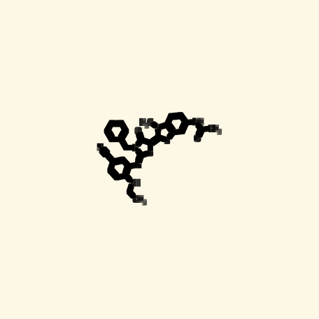 CCNc1ccc(C#N)cc1/N=C1/S/C(=C2\Sc3cc(NC(C)=O)ccc3N2C)C(=O)N1Cc1ccccc1